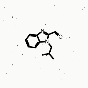 CC(C)Cn1c(C=O)nc2ccccc21